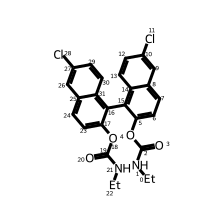 [CH2]CNC(=O)Oc1ccc2cc(Cl)ccc2c1-c1c(OC(=O)NC[CH2])ccc2cc(Cl)ccc12